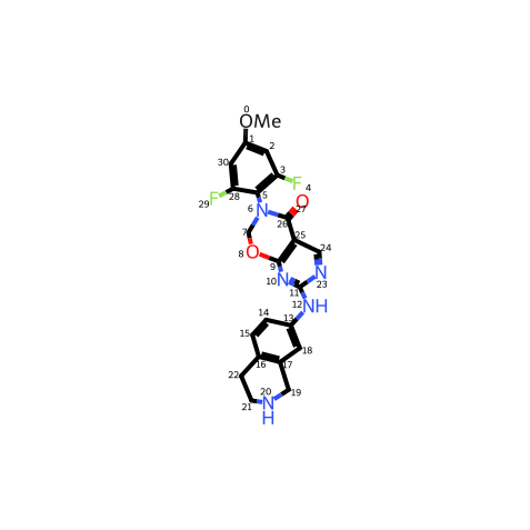 COc1cc(F)c(N2COc3nc(Nc4ccc5c(c4)CNCC5)ncc3C2=O)c(F)c1